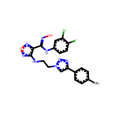 CC(C)(C)c1ccc(-c2cn(CCNc3nonc3C(=NO)Nc3ccc(F)c(Br)c3)nn2)cc1